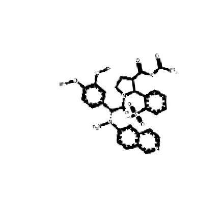 CCOc1cc([C@H](C(=O)N2CCC(C(=O)OC(=O)C(F)(F)F)C2c2ccccc2S(=O)(=O)C(C)C)N(N)c2ccc3cnccc3c2)ccc1OC(C)C